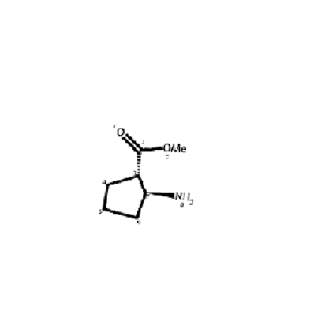 COC(=O)[C@H]1CCC[C@@H]1N